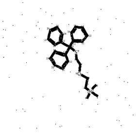 C[N+](C)(C)CCOCCSC(c1ccccc1)(c1ccccc1)c1ccccc1